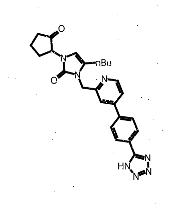 CCCCc1cn(C2CCCC2=O)c(=O)n1Cc1cc(-c2ccc(-c3nnn[nH]3)cc2)ccn1